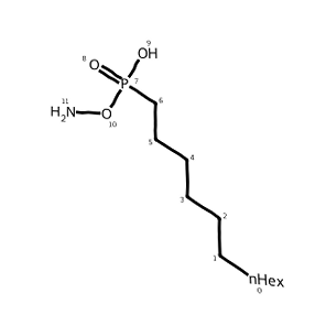 CCCCCCCCCCCCP(=O)(O)ON